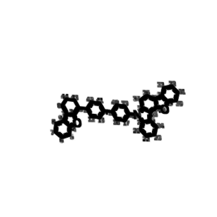 C1=c2c(oc3ccccc23)=C(c2ccc(-c3ccc(-n4c5ccccc5c5c6oc7ccccc7c6ccc54)cc3)cc2)CC1